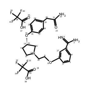 N=C(N)c1cccc(OCCN2CC[C@H](Oc3ccc(CC(N)=O)cc3)C2)c1.O=C(O)C(F)(F)F.O=C(O)C(F)(F)F